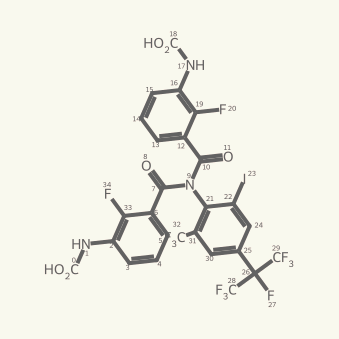 O=C(O)Nc1cccc(C(=O)N(C(=O)c2cccc(NC(=O)O)c2F)c2c(I)cc(C(F)(C(F)(F)F)C(F)(F)F)cc2C(F)(F)F)c1F